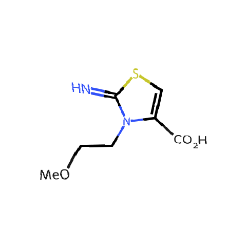 COCCn1c(C(=O)O)csc1=N